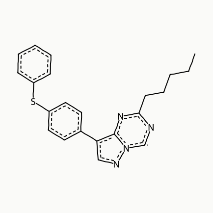 CCCCCc1n[c]n2ncc(-c3ccc(Sc4ccccc4)cc3)c2n1